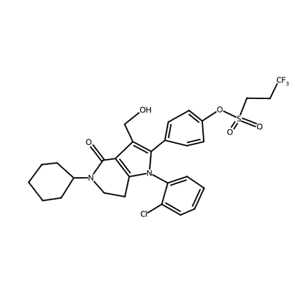 O=C1c2c(CO)c(-c3ccc(OS(=O)(=O)CCC(F)(F)F)cc3)n(-c3ccccc3Cl)c2CCN1C1CCCCC1